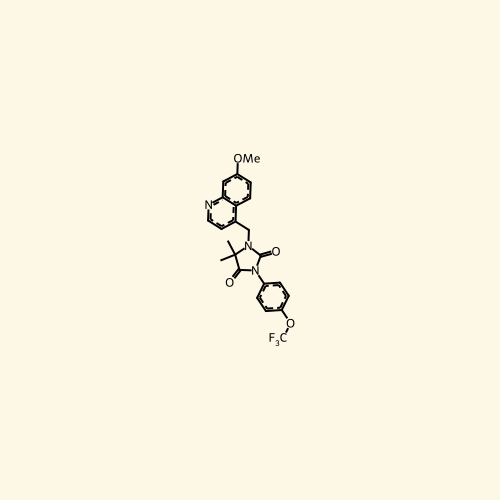 COc1ccc2c(CN3C(=O)N(c4ccc(OC(F)(F)F)cc4)C(=O)C3(C)C)ccnc2c1